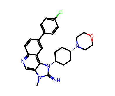 Cn1c(=N)n([C@H]2CC[C@@H](N3CCOCC3)CC2)c2c3cc(-c4ccc(Cl)cc4)ccc3ncc21